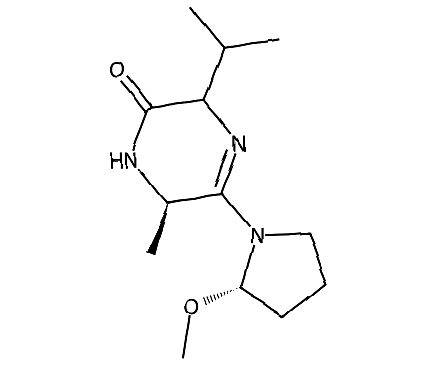 CO[C@H]1CCCN1C1=NC(C(C)C)C(=O)N[C@@H]1C